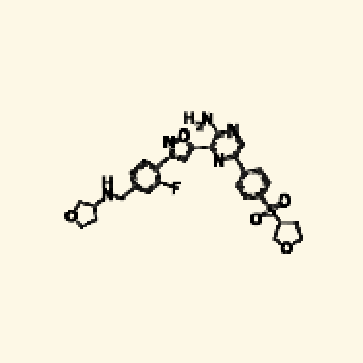 Nc1ncc(-c2ccc(S(=O)(=O)C3CCOC3)cc2)nc1-c1cc(-c2ccc(CNC3CCOC3)cc2F)no1